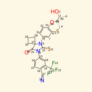 C[C@@H](O)[C@@H]1CSc2cc(N3C(=S)N(c4ccc(C#N)c(C(F)(F)F)c4)C(=O)C34CCC4)ccc2O1